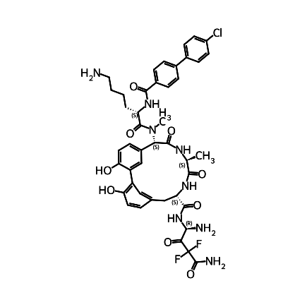 C[C@@H]1NC(=O)[C@@H](N(C)C(=O)[C@H](CCCCN)NC(=O)c2ccc(-c3ccc(Cl)cc3)cc2)c2ccc(O)c(c2)-c2cc(ccc2O)C[C@@H](C(=O)N[C@@H](N)C(=O)C(F)(F)C(N)=O)NC1=O